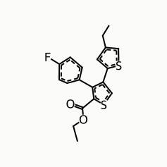 CCOC(=O)c1scc(-c2cc(CC)cs2)c1-c1ccc(F)cc1